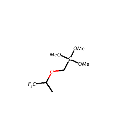 CO[Si](COC(C)C(F)(F)F)(OC)OC